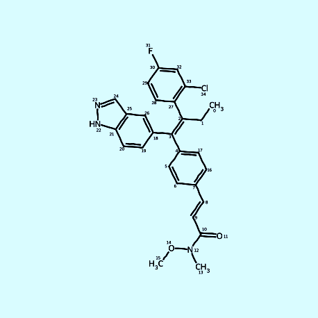 CCC(=C(c1ccc(C=CC(=O)N(C)OC)cc1)c1ccc2[nH]ncc2c1)c1ccc(F)cc1Cl